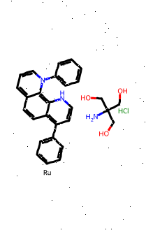 C1=CN(c2ccccc2)c2c3c(ccc2=C1)=C(c1ccccc1)C=CN3.Cl.NC(CO)(CO)CO.[Ru]